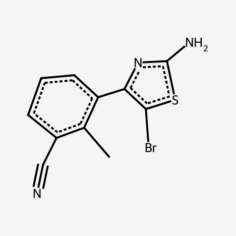 Cc1c(C#N)cccc1-c1nc(N)sc1Br